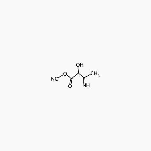 CC(=N)C(O)C(=O)OC#N